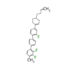 C=CCCC1CC=C(c2ccc(-c3ccc(-c4ccc(C)c(F)c4F)cc3)c(F)c2)CC1